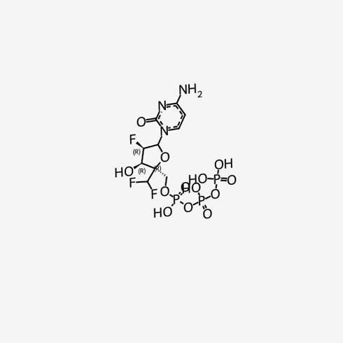 Nc1ccn(C2O[C@@](COP(=O)(O)OP(=O)(O)OP(=O)(O)O)(C(F)F)[C@@H](O)[C@H]2F)c(=O)n1